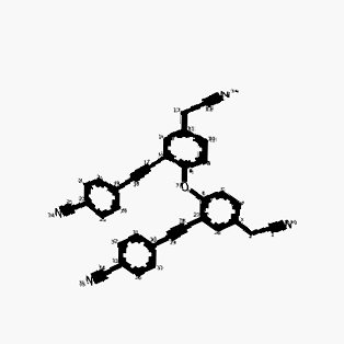 N#CCc1ccc(Oc2ccc(CC#N)cc2C#Cc2ccc(C#N)cc2)c(C#Cc2ccc(C#N)cc2)c1